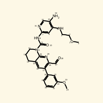 COCCNc1cc(NC(=O)N2CCCc3cc(-c4cccc(OC)c4)c(C=O)nc32)ncc1N